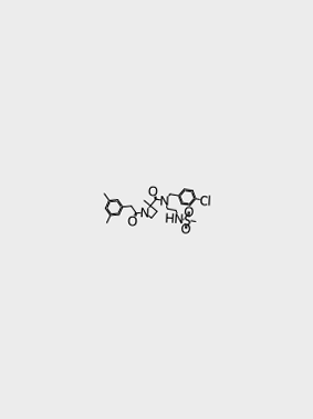 Cc1cc(C)cc(CC(=O)N2CCC2(C)C(=O)N(CCNS(C)(=O)=O)Cc2ccc(Cl)cc2)c1